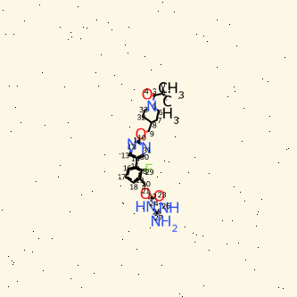 CC(C)C(=O)N1CCC(COc2ncc(-c3cccc(COC(=O)NC(=N)N)c3F)cn2)CC1